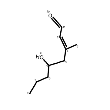 CCCC(O)CC(C)=CC=O